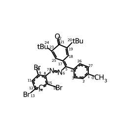 Cc1ccc(C(N=Nc2c(Br)cc(Br)cc2Br)=C2C=C(C(C)(C)C)C(=O)C(C(C)(C)C)=C2)cc1